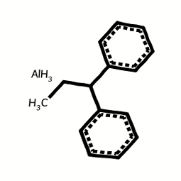 CC[C](c1ccccc1)c1ccccc1.[AlH3]